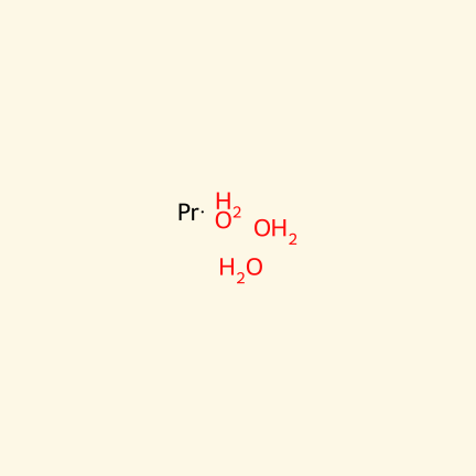 O.O.O.[Pr]